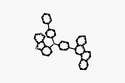 c1ccc(-c2ccc(N(c3ccc(-c4cc5c6ccccc6ccc5c5ccccc45)cc3)c3cccc4oc5ccncc5c34)cc2)cc1